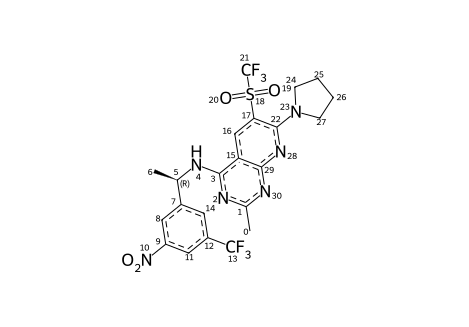 Cc1nc(N[C@H](C)c2cc([N+](=O)[O-])cc(C(F)(F)F)c2)c2cc(S(=O)(=O)C(F)(F)F)c(N3CCCC3)nc2n1